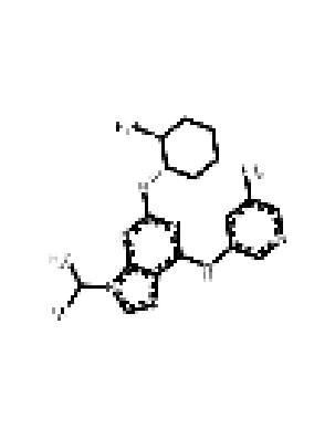 CC(C)n1cnc2c(Nc3cncc(N)c3)nc(N[C@H]3CCCC[C@@H]3N)nc21